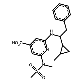 CC1CC1C(Cc1ccccc1)Nc1cc(C(=O)O)cc(N(C)S(C)(=O)=O)n1